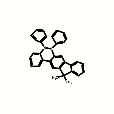 CC1(C)c2ccccc2-c2cc3c(cc21)-c1ccccc1N(c1ccccc1)B3c1ccccc1